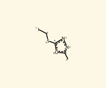 Cc1nnc(SCI)o1